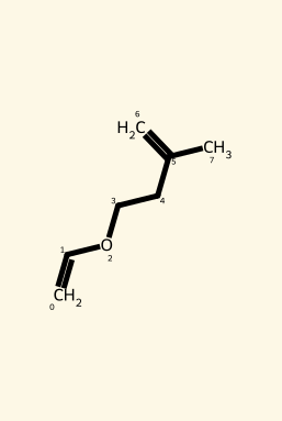 C=COCCC(=C)C